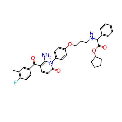 Cc1cc(C(=O)c2ccc(=O)n(-c3ccc(OCCCN[C@H](C(=O)OC4CCCC4)c4ccccc4)cc3)c2N)ccc1F